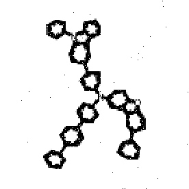 c1ccc(-c2ccc(-c3ccc(N(c4ccc(-c5ccc6c(c5)c5ccccc5n6-c5ccccc5)cc4)c4ccc5oc6ccc(-c7ccccc7)cc6c5c4)cc3)cc2)cc1